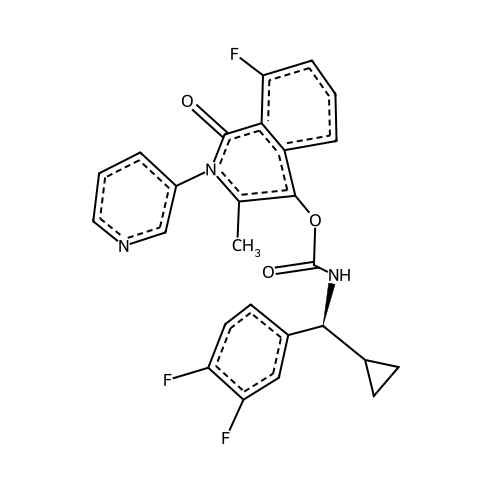 Cc1c(OC(=O)N[C@H](c2ccc(F)c(F)c2)C2CC2)c2cccc(F)c2c(=O)n1-c1cccnc1